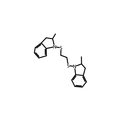 CC1Cc2ccccc2N1SCCSN1c2ccccc2CC1C